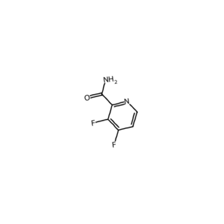 NC(=O)c1nccc(F)c1F